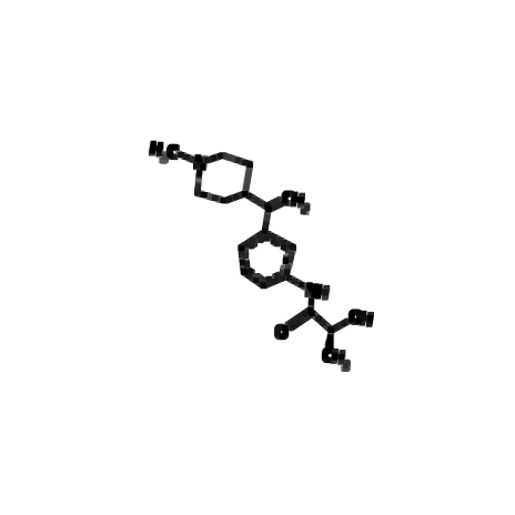 C=C(c1cccc(NC(=O)[C@H](C)O)c1)C1CCN(C)CC1